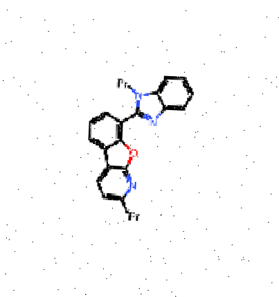 CC(C)c1ccc2c(n1)oc1c(-c3nc4ccccc4n3C(C)C)cccc12